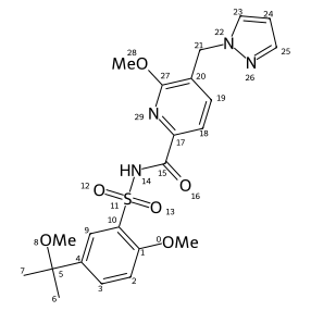 COc1ccc(C(C)(C)OC)cc1S(=O)(=O)NC(=O)c1ccc(Cn2cccn2)c(OC)n1